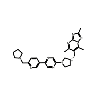 Cc1nc2nc(C)c(C[C@@H]3CCN(c4cnc(-c5ccc(CN6CCCC6)nc5)cn4)C3)c(C)n2n1